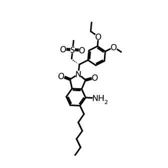 CCCCCCc1ccc2c(c1N)C(=O)N([C@H](CS(C)(=O)=O)c1ccc(OC)c(OCC)c1)C2=O